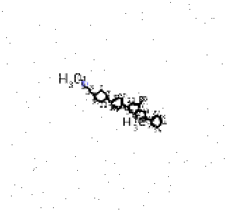 C/C=C/CCC1CCC(c2ccc(-c3cc(F)c(C[C@H](C)c4ccccc4)c(F)c3)cc2)CC1